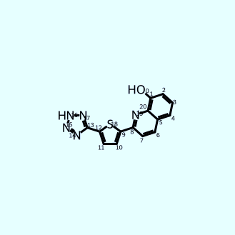 Oc1cccc2ccc(-c3ccc(-c4nn[nH]n4)s3)nc12